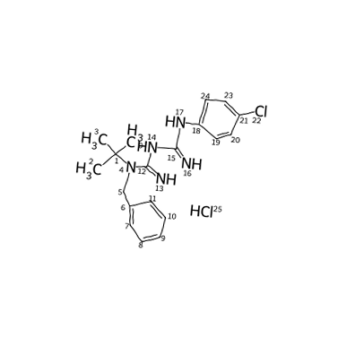 CC(C)(C)N(Cc1ccccc1)C(=N)NC(=N)Nc1ccc(Cl)cc1.Cl